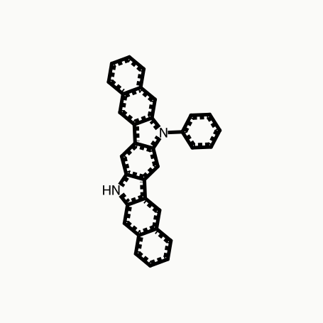 c1ccc(-n2c3cc4ccccc4cc3c3cc4[nH]c5cc6ccccc6cc5c4cc32)cc1